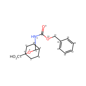 O=C(NC1OC2(C(=O)O)CCC1CC2)OCc1ccccc1